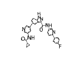 O=C(Nc1ccc(-c2ccc(F)cc2)nc1)c1n[nH]c2ccc(-c3cncc(NC(=O)C4CC4)c3)cc12